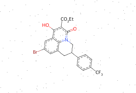 CCOC(=O)c1c(O)c2cc(Br)cc3c2n(c1=O)CC(c1ccc(C(F)(F)F)cc1)C3